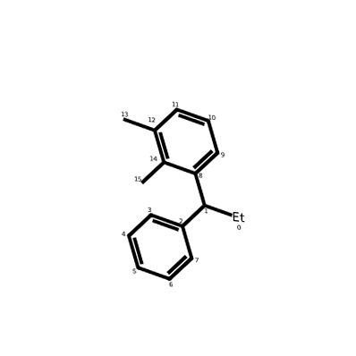 CCC(c1ccccc1)c1cccc(C)c1C